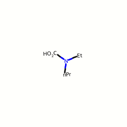 CCCN(CC)C(=O)O